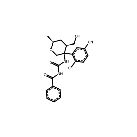 C[C@H]1C[C@@H](CO)[C@](NC(=S)NC(=O)c2ccccc2)(c2cc(C#N)ccc2Cl)CO1